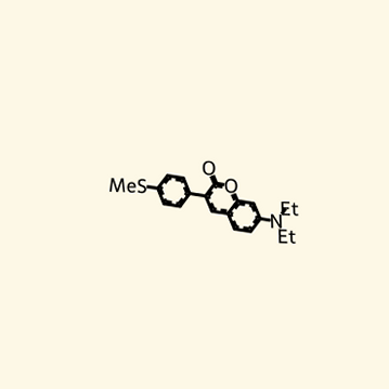 CCN(CC)c1ccc2cc(-c3ccc(SC)cc3)c(=O)oc2c1